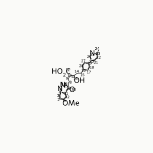 COc1ccc2nnn(CC[C@H](C(=O)O)[C@H](O)CCc3ccc(-c4ccc(C)nc4)cc3)c(=O)c2c1